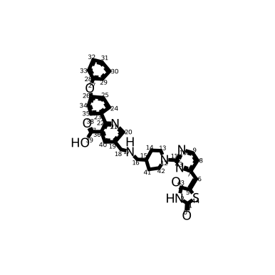 O=C1NC(=O)/C(=C\c2ccnc(N3CCC(CNCc4cnc(-c5ccc(Oc6ccccc6)cc5)c(C(=O)O)c4)CC3)n2)S1